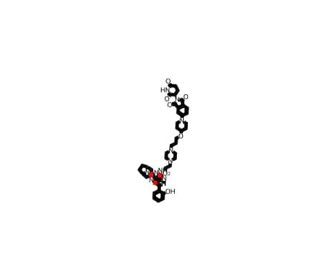 Nc1nnc(-c2ccccc2O)cc1N1CC2CCC(C1)N2c1nccc(OCCN2CCN(CCCOC3CCN(c4ccc5c(c4)C(=O)N([C@@H]4CCC(=O)NC4=O)C5=O)CC3)CC2)n1